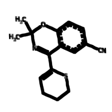 CC1(C)N=C(C2=CCCCS2)c2cc(C#N)ccc2O1